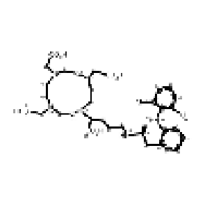 O=C(O)CN1CCN(CC(=O)O)CCN(C(CCCNC(=O)Cc2ccccc2Nc2c(Cl)cccc2Cl)C(=O)O)CCN(CC(=O)O)CC1